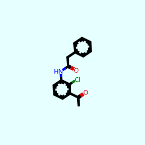 CC(=O)c1cccc(NC(=O)Cc2ccccc2)c1Cl